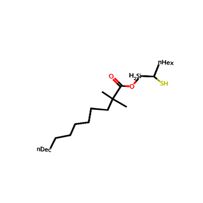 CCCCCCCCCCCCCCCCC(C)(C)C(=O)O[SiH2]C(S)CCCCCC